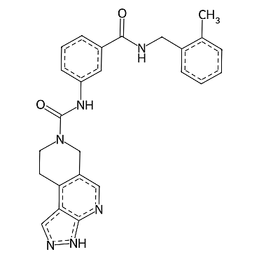 Cc1ccccc1CNC(=O)c1cccc(NC(=O)N2CCc3c(cnc4[nH]ncc34)C2)c1